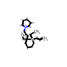 C=CC[Si]1(CC)CCCCC1(CC)CCN1CCCCC1